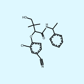 CC(NC(=O)C(Oc1ccc(C#N)cc1Cl)C(C)(C)CO)c1ccccc1